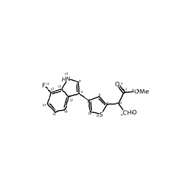 COC(=O)C(C=O)c1cc(-c2c[nH]c3c(F)cccc23)cs1